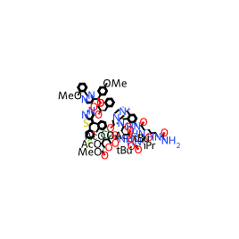 COC(=O)[C@H]1OC(OC(=O)N[C@@H](CC(=O)N(C)Cc2cc(NC(=O)[C@H](CCCNC(N)=O)NC(=O)[C@@H](NC(=O)OC(C)(C)C)C(C)C)ccc2C[N+]2(C)CCN(CCOc3ccc(-c4c(-c5ccc(F)cc5)sc5ncnc(O[C@H](Cc6ccccc6OCc6ccnc(-c7ccccc7OC)n6)C(=O)OCc6ccc(OC)cc6)c45)c(C)c3Cl)CC2)C(=O)OC(C)(C)C)[C@H](OC(C)=O)[C@@H](OC(C)=O)[C@@H]1OC(C)=O